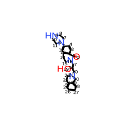 O=C1c2ccc(N3CCNCC3)cc2CCN1CC(O)CN1CCc2ccccc2C1